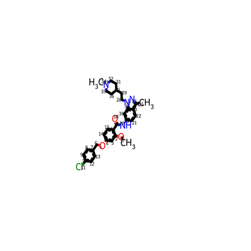 COc1cc(OCc2ccc(Cl)cc2)ccc1C(=O)Nc1ccc2c(C)nn(CCC3CCN(C)CC3)c2c1